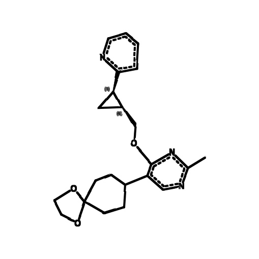 Cc1ncc(C2CCC3(CC2)OCCO3)c(OC[C@H]2C[C@H]2c2ccccn2)n1